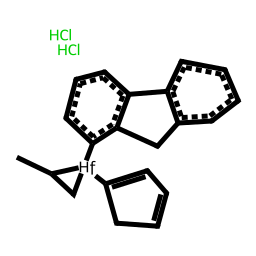 C[CH]1[CH2][Hf]1([C]1=CC=CC1)[c]1cccc2c1Cc1ccccc1-2.Cl.Cl